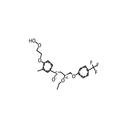 CCO[C@H](COc1ccc(C(F)(F)F)cc1)C[S+]([O-])c1ccc(OCCOO)c(C)c1